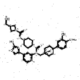 COc1ccc(C23CCC(CN(c4cc(-c5coc(C(C)(C)C)n5)ccn4)C(=O)[C@H]4CC[C@H](OC(=O)N5CC(CO)C5)CC4)(CC2)CC3)cc1C